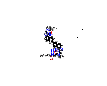 CCCC(=O)N(CCC)Cc1nc2ccc3cc(-c4ccc5c(ccc6nc(CN(CCC)C(=O)CNC(=O)OC)[nH]c65)c4)ccc3c2[nH]1